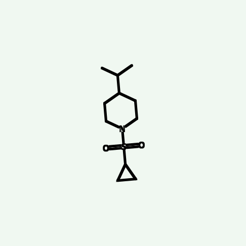 CC(C)C1CCN(S(=O)(=O)C2CC2)CC1